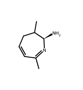 CC1=N[C@H](N)C(C)CC=C1